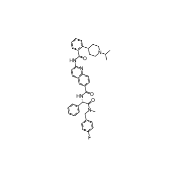 CC(C)N1CCC(c2ccccc2C(=O)Nc2ccc3cc(C(=O)N[C@H](C(=O)N(C)Cc4ccc(F)cc4)c4ccccc4)ccc3n2)CC1